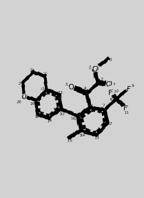 COC(=O)C(=O)c1c(C(F)(F)F)ccc(C)c1-c1ccc2c(c1)CCCO2